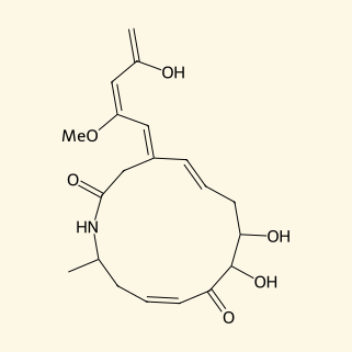 C=C(O)\C=C(/C=C1/C=C/CC(O)C(O)C(=O)/C=C\CC(C)NC(=O)C1)OC